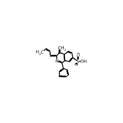 C=c1/c(=C\C=C/C)nc(-c2ccccc2)c2cc(S(=O)(=O)O)ccc12